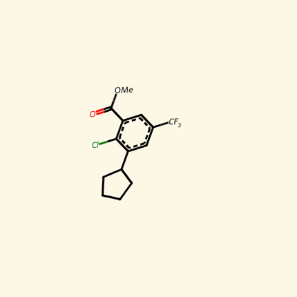 COC(=O)c1cc(C(F)(F)F)cc(C2CCCC2)c1Cl